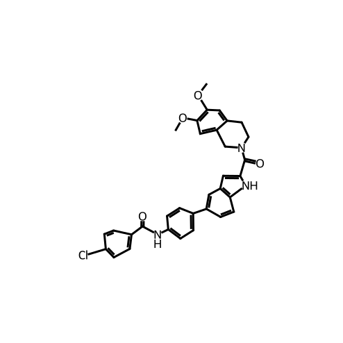 COc1cc2c(cc1OC)CN(C(=O)c1cc3cc(-c4ccc(NC(=O)c5ccc(Cl)cc5)cc4)ccc3[nH]1)CC2